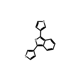 c1ccc2c(-c3ccsc3)sc(-c3ccsc3)c2c1